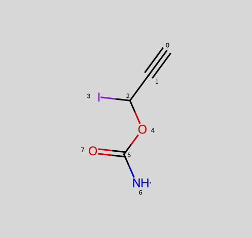 C#CC(I)OC([NH])=O